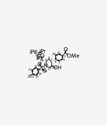 COC(=O)c1ccc([C@H]2C[C@@H](CO[Si](C(C)C)(C(C)C)C(C)C)N(S(=O)(=O)c3ccc(C)cc3)C[C@@H]2O)cc1